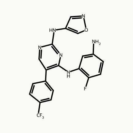 Nc1ccc(F)c(Nc2nc(Nc3cnoc3)ncc2-c2ccc(C(F)(F)F)cc2)c1